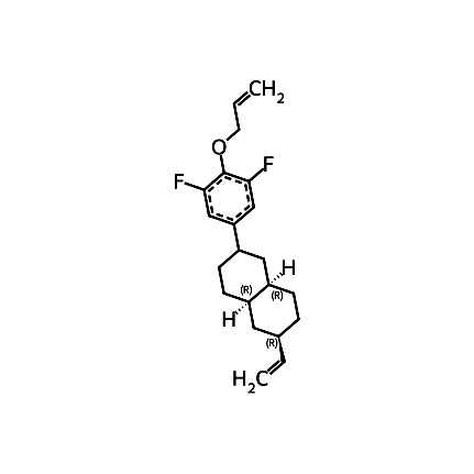 C=CCOc1c(F)cc(C2CC[C@@H]3C[C@H](C=C)CC[C@@H]3C2)cc1F